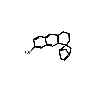 CC(C)(C)c1ccc2cc3c(cc2c1)C1(CCC3)CC2=CCC1C2